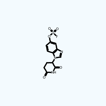 O=C1CCC(n2cnc3cc(OS(=O)(=O)F)ccc32)C(=O)N1